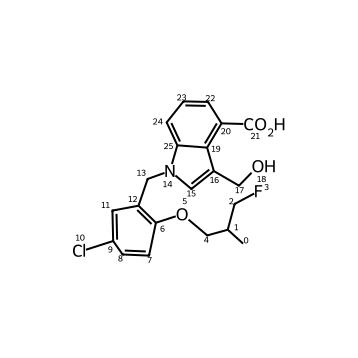 CC(CF)COc1ccc(Cl)cc1Cn1cc(CO)c2c(C(=O)O)cccc21